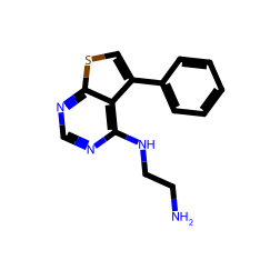 NCCNc1ncnc2scc(-c3ccccc3)c12